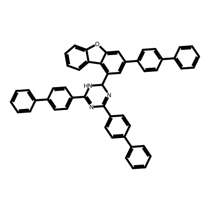 c1ccc(-c2ccc(C3=NC(c4cc(-c5ccc(-c6ccccc6)cc5)cc5oc6ccccc6c45)NC(c4ccc(-c5ccccc5)cc4)=N3)cc2)cc1